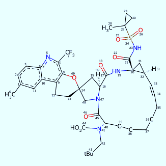 Cc1ccc2nc(C(F)(F)F)c3c(c2c1)CC[C@]1(C[C@H]2C(=O)N[C@]4(C(=O)NS(=O)(=O)C5(C)CC5)C[C@H]4/C=C\CCCCC[C@H](N(CC(C)(C)C)C(=O)O)C(=O)N2C1)O3